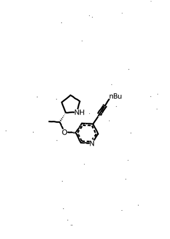 CCCCC#Cc1cncc(OC(C)[C@@H]2CCCN2)c1